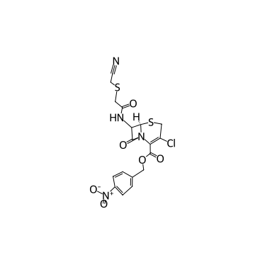 N#CCSCC(=O)NC1C(=O)N2C(C(=O)OCc3ccc([N+](=O)[O-])cc3)=C(Cl)CS[C@H]12